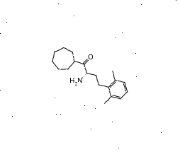 Cc1cccc(C)c1CC[C@H](N)C(=O)C1CCCCCC1